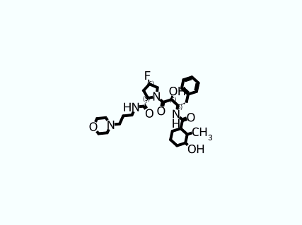 CC1C(O)CCCC1C(=O)N[C@@H](Cc1ccccc1)[C@H](O)C(=O)N1C[C@@H](F)C[C@H]1C(=O)NCCCN1CCOCC1